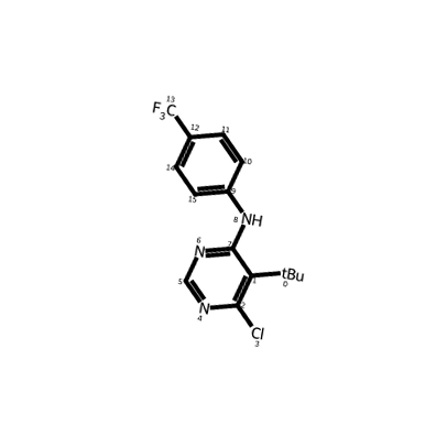 CC(C)(C)c1c(Cl)ncnc1Nc1ccc(C(F)(F)F)cc1